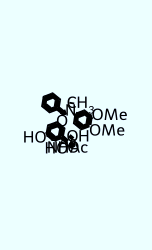 CC(=O)Nc1c(O)cccc1[As](=O)(O)O.COc1ccc(N(C)C(=O)c2ccccc2)cc1OC